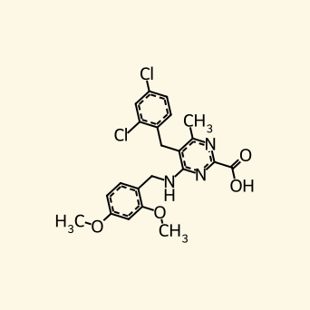 COc1ccc(CNc2nc(C(=O)O)nc(C)c2Cc2ccc(Cl)cc2Cl)c(OC)c1